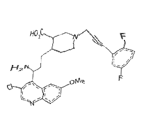 COc1ccc2ncc(Cl)c(C(N)CCC3CCN(CC#Cc4cc(F)ccc4F)CC3C(=O)O)c2c1